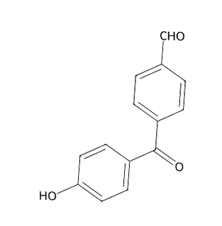 O=Cc1ccc(C(=O)c2ccc(O)cc2)cc1